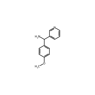 COc1ccc(C(N)c2cccnc2)cc1